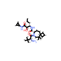 CCC[C@H](NC(=O)[C@@H]1CCC2(CCC2)C(C)(C)CN1C(=O)[C@@H](N)C(C)(C)C)C(O)C(=O)NC1CC1